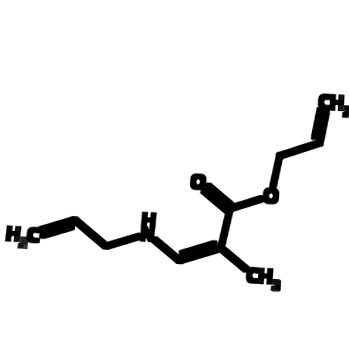 C=CCNC=C(C)C(=O)OCC=C